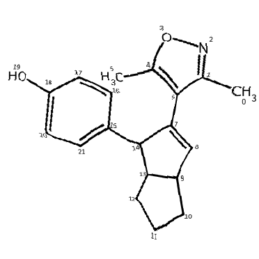 Cc1noc(C)c1C1=CC2CCCC2C1c1ccc(O)cc1